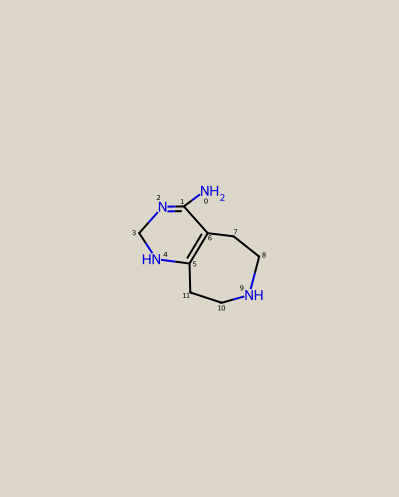 NC1=NCNC2=C1CCNCC2